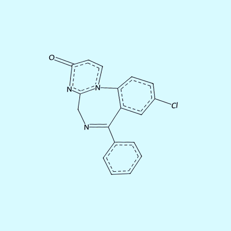 O=c1ccn2c(n1)CN=C(c1ccccc1)c1cc(Cl)ccc1-2